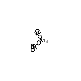 c1ccc2nc(-c3ccc4[nH]c5ccc(-c6cnc7ccccc7n6)cc5c4c3)cnc2c1